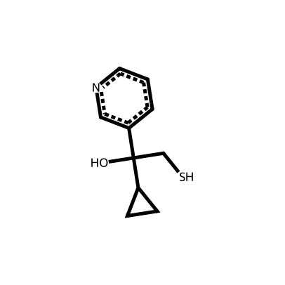 OC(CS)(c1cccnc1)C1CC1